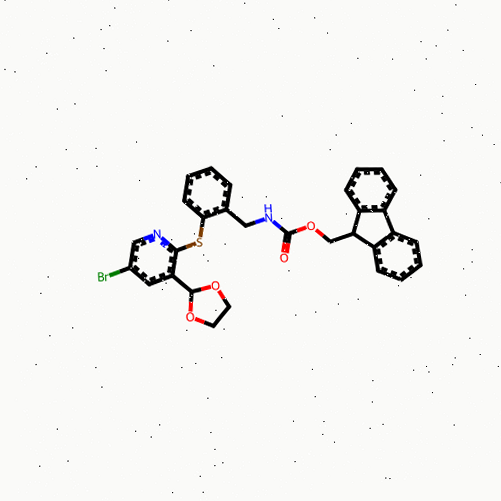 O=C(NCc1ccccc1Sc1ncc(Br)cc1C1OCCO1)OCC1c2ccccc2-c2ccccc21